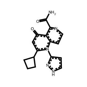 NC(=O)c1nccc2c1c(=O)cc(C1CCC1)n2-c1cc[nH]n1